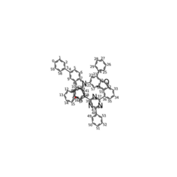 c1ccc(-c2ccc3c(c2)c2c4ccccc4ccc2n3-c2cc(-c3ccccc3)c3oc4cccc(-c5nc(-c6ccccc6)nc(-c6ccccc6)n5)c4c3c2)cc1